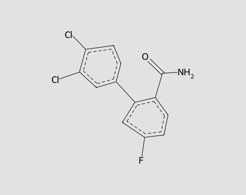 NC(=O)c1ccc(F)cc1-c1ccc(Cl)c(Cl)c1